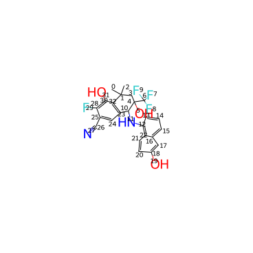 CC1(C)CC(O)(C(F)(F)F)C(Nc2cccc3cc(O)ccc23)c2cc(C#N)c(F)c(O)c21